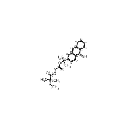 CCC(C)(C)C(=O)OCC(=O)OC(C)(C)c1ccc2c(S)c3ccccc3cc2c1